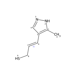 Cc1[nH]ncc1/C=C/CS